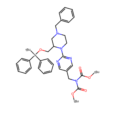 CC(C)(C)OC(=O)N(Cc1cnc(N2CCN(Cc3ccccc3)CC2CO[Si](c2ccccc2)(c2ccccc2)C(C)(C)C)nc1)C(=O)OC(C)(C)C